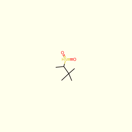 CC([SH](=O)=O)C(C)(C)C